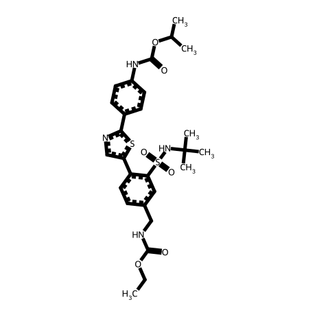 CCOC(=O)NCc1ccc(-c2cnc(-c3ccc(NC(=O)OC(C)C)cc3)s2)c(S(=O)(=O)NC(C)(C)C)c1